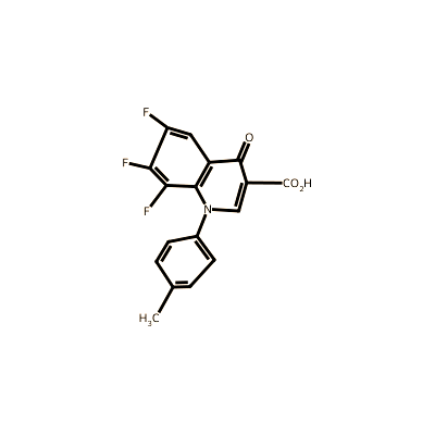 Cc1ccc(-n2cc(C(=O)O)c(=O)c3cc(F)c(F)c(F)c32)cc1